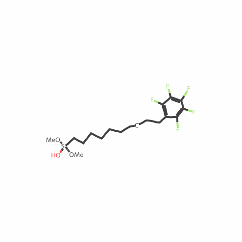 CO[Si](O)(CCCCCCCCCCc1c(F)c(F)c(F)c(F)c1F)OC